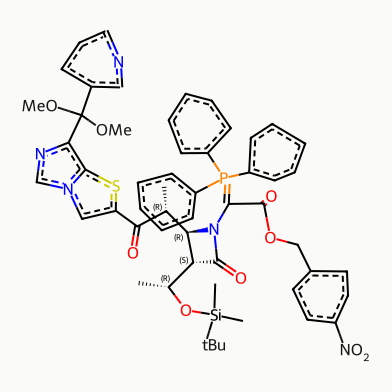 COC(OC)(c1cccnc1)c1ncn2cc(C(=O)[C@H](C)[C@@H]3[C@@H]([C@@H](C)O[Si](C)(C)C(C)(C)C)C(=O)N3C(C(=O)OCc3ccc([N+](=O)[O-])cc3)=P(c3ccccc3)(c3ccccc3)c3ccccc3)sc12